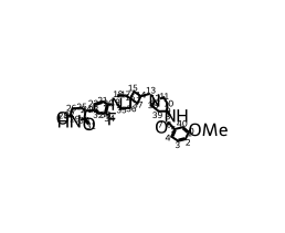 COc1cccc(C(=O)NC2CCN(CC3CC4(CCN(c5ccc(C6CCC(=O)NC6=O)cc5F)CC4)C3)CC2)c1